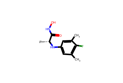 Cc1cc(N[C@@H](C(=O)NO)C(C)C)cc(C)c1F